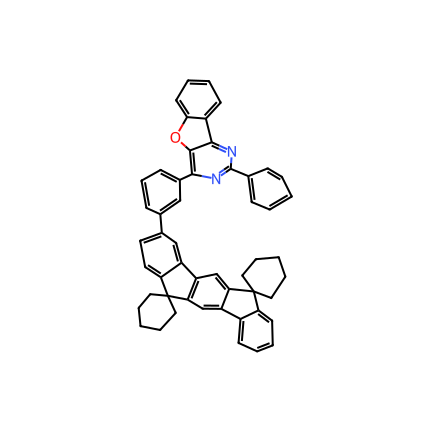 c1ccc(-c2nc(-c3cccc(-c4ccc5c(c4)-c4cc6c(cc4C54CCCCC4)-c4ccccc4C64CCCCC4)c3)c3oc4ccccc4c3n2)cc1